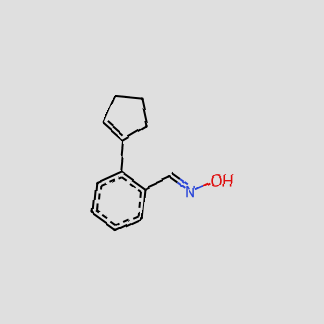 ON=Cc1ccccc1C1=CCCC1